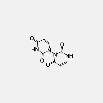 O=c1ccn(-n2c(=O)cc[nH]c2=O)c(=O)[nH]1